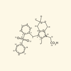 Cc1c(Cc2ccccc2S(=O)(=O)c2ccccc2)c2c(n1CC(=O)O)CCC(C)(C)C2